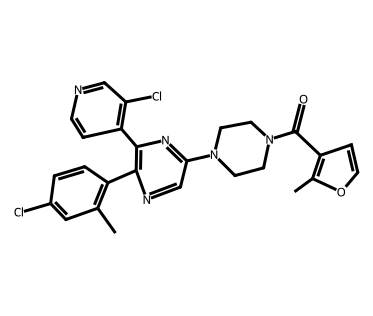 Cc1cc(Cl)ccc1-c1ncc(N2CCN(C(=O)c3ccoc3C)CC2)nc1-c1ccncc1Cl